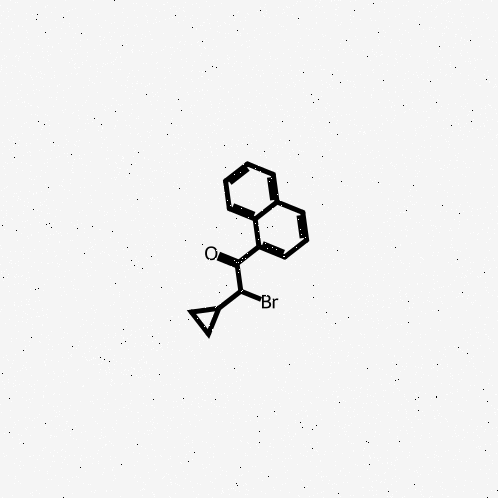 O=C(c1cccc2ccccc12)C(Br)C1CC1